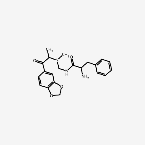 CC(C(=O)c1ccc2c(c1)OCO2)N(C)CNC(=O)C(N)Cc1ccccc1